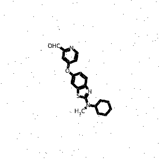 CN(c1nc2ccc(Oc3ccnc(C=O)c3)cc2s1)C1CCCCC1